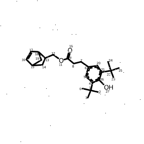 CC(C)(C)c1cc(CCC(=O)OCC2CC3C=CC2C3)cc(C(C)(C)C)c1O